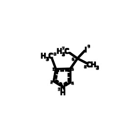 Cc1c[nH]cc1C(C)(C)I